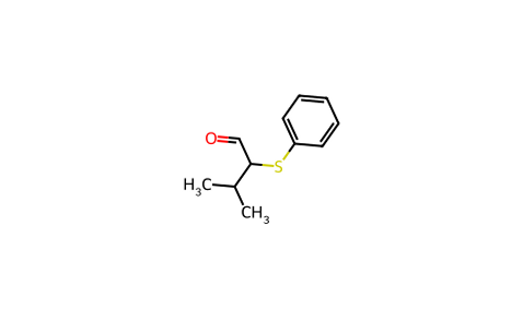 CC(C)C(C=O)Sc1ccccc1